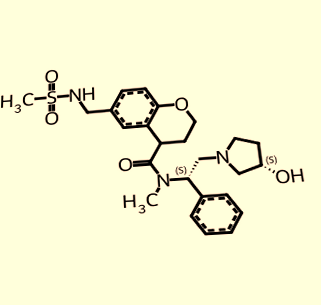 CN(C(=O)C1CCOc2ccc(CNS(C)(=O)=O)cc21)[C@H](CN1CC[C@H](O)C1)c1ccccc1